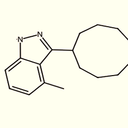 Cc1cccc2c1C(C1CCCCCCCC1)=N[N]2